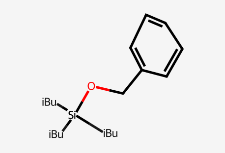 CCC(C)[Si](OCc1ccccc1)(C(C)CC)C(C)CC